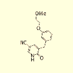 COCCOc1cccc(Cc2cc(C#N)c[nH]c2=O)c1